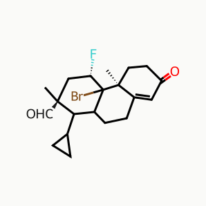 C[C@]1(C=O)C[C@H](F)C2(Br)C(CCC3=CC(=O)CC[C@@]32C)C1C1CC1